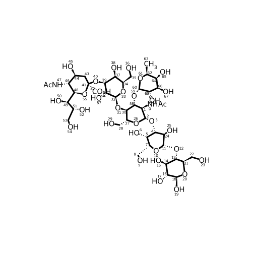 CC(=O)N[C@H]1[C@H](O[C@H]2[C@@H](O)[C@@H](CO)O[C@@H](O[C@H]3[C@H](O)[C@@H](O)[C@H](O)O[C@@H]3CO)[C@@H]2O)O[C@H](CO)[C@@H](O[C@@H]2O[C@H](CO)[C@H](O)[C@H](O[C@]3(C(=O)O)C[C@H](O)[C@@H](NC(C)=O)[C@H]([C@H](O)[C@H](O)CO)O3)[C@H]2O)[C@@H]1O[C@@H]1O[C@@H](C)[C@@H](O)[C@@H](O)[C@@H]1O